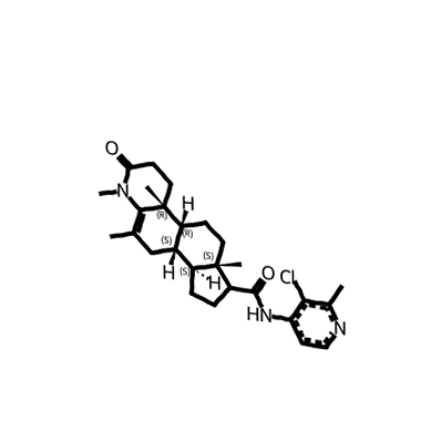 CC1=C2N(C)C(=O)CC[C@]2(C)[C@@H]2CC[C@]3(C)C(C(=O)Nc4ccnc(C)c4Cl)CC[C@H]3[C@@H]2C1